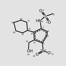 CS(=O)(=O)Nc1ccc([N+](=O)[O-])c(CO)c1C1CCCCC1